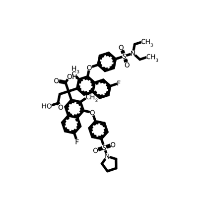 CCN(CC)S(=O)(=O)c1ccc(Oc2c(C)c(C(CC(=O)O)(C(=O)O)c3cc4ccc(F)cc4c(Oc4ccc(S(=O)(=O)N5CCCC5)cc4)c3C)cc3ccc(F)cc23)cc1